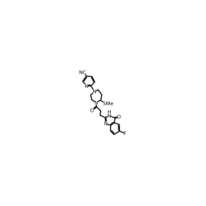 CSC1CCN(c2ccc(C#N)cn2)CCN1C(=O)CCc1nc2ccc(F)cc2c(=O)[nH]1